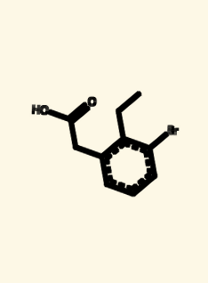 CCc1c(Br)cccc1CC(=O)O